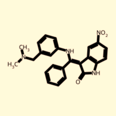 CN(C)Cc1cccc(NC(=C2C(=O)Nc3ccc([N+](=O)[O-])cc32)c2ccccc2)c1